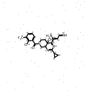 CC12CCN(C(=O)c3cccc(C(F)(F)F)c3Cl)CC1N=C(C1CC1)N=C2/C(N)=C/C=N